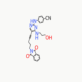 N#Cc1ccc(Nc2ncc(C#CCCCN3C(=O)c4ccccc4C3=O)c(NCCCO)n2)cc1